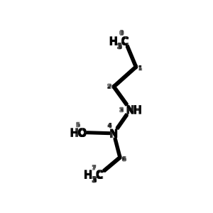 CCCNN(O)CC